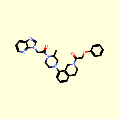 CC1CN(c2cccc3c2CN(C(=O)COc2ccccc2)CC3)CCN1C(=O)Cn1cnc2cccnc21